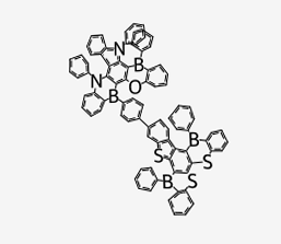 c1ccc(B2c3ccccc3Sc3c4c(c5c(sc6cc(-c7ccc(B8c9ccccc9N(c9ccccc9)c9c8c8c(c%10c9c9ccccc9n%10-c9ccccc9)B(c9ccccc9)c9ccccc9O8)cc7)ccc65)c32)B(c2ccccc2)c2ccccc2S4)cc1